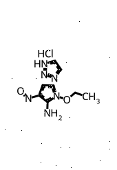 CCOn1ccc(N=O)c1N.Cl.c1c[nH]nn1